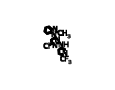 Cc1nc2ccccc2n1-c1cc(Cl)nc(Nc2ccc(C(F)(F)F)nc2)n1